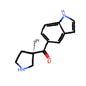 CCC[C@@]1(C(=O)c2ccc3[nH]ccc3c2)CCNC1